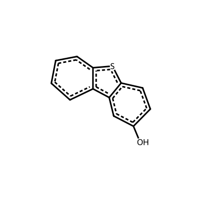 Oc1ccc2sc3ccccc3c2c1